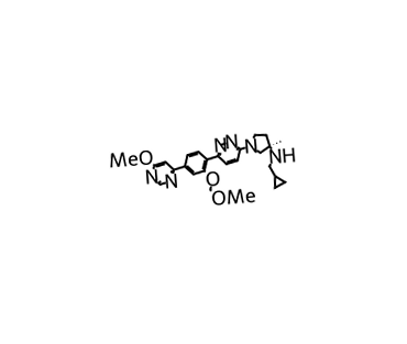 COCOc1cc(-c2cc(OC)ncn2)ccc1-c1ccc(N2CC[C@@](C)(NCC3CC3)C2)nn1